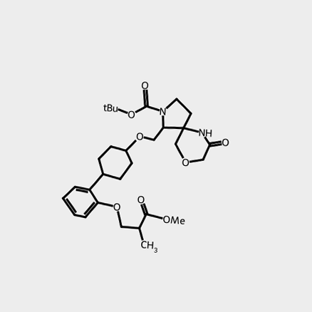 COC(=O)C(C)COc1ccccc1C1CCC(OCC2N(C(=O)OC(C)(C)C)CCC23COCC(=O)N3)CC1